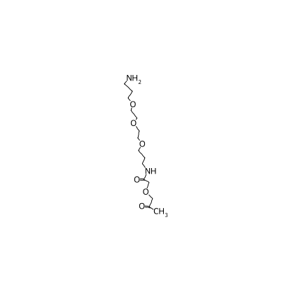 CC(=O)COCC(=O)NCCCOCCOCCOCCCN